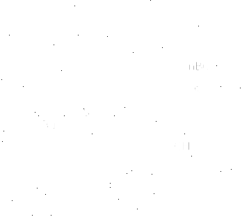 CCCCSC(C)C[CH]SC(C)CC